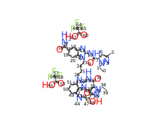 CCn1nc(C)cc1C(=O)Nc1nc2cc(C(N)=O)ccc2n1CCCCn1c(NC(=O)c2cc(C)nn2CC)nc2c(N(C)C(=O)CO)cccc21.O=C(O)C(F)(F)F.O=C(O)C(F)(F)F